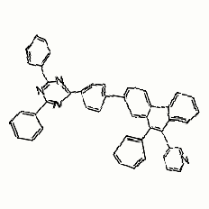 c1ccc(-c2nc(-c3ccccc3)nc(-c3ccc(-c4ccc5c(c4)c(-c4ccccc4)c(-c4cccnc4)c4ccccc45)cc3)n2)cc1